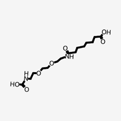 O=C(O)CCCCCCC(=O)NCCOCCOCCNC(=O)O